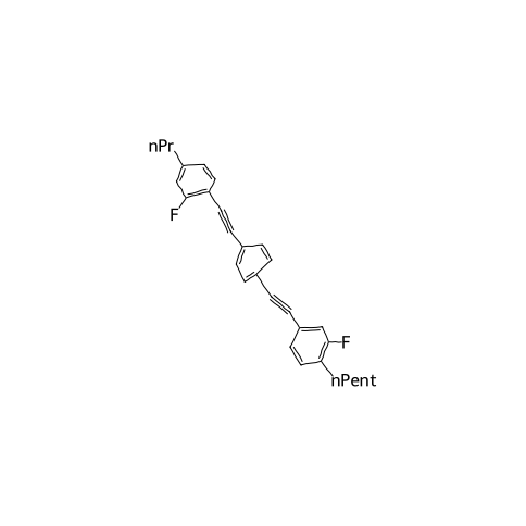 CCCCCc1ccc(C#Cc2ccc(C#Cc3ccc(CCC)cc3F)cc2)cc1F